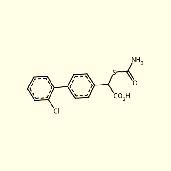 NC(=O)SC(C(=O)O)c1ccc(-c2ccccc2Cl)cc1